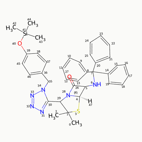 CC1(C)S[C@@H]2C(NC(c3ccccc3)(c3ccccc3)c3ccccc3)C(=O)N2C1c1nnnn1Cc1ccc(O[Si](C)(C)C)cc1